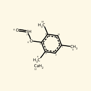 Cc1cc(C)c(O[SH]=O)c(C)c1.[CaH2]